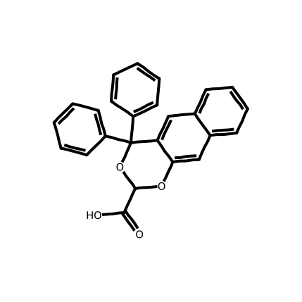 O=C(O)C1Oc2cc3ccccc3cc2C(c2ccccc2)(c2ccccc2)O1